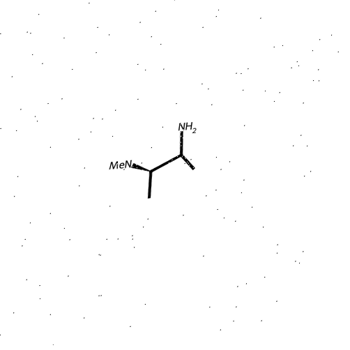 CN[C@H](C)C(C)N